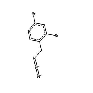 [N-]=[N+]=NCc1ccc(Br)cc1Br